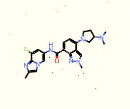 Cc1cn2cc(NC(=O)c3ccc(N4CC[C@@H](N(C)C)C4)c4cn(C)nc34)cc(F)c2n1